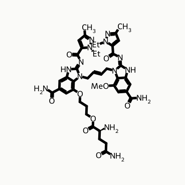 CCn1nc(C)cc1C(=O)/N=c1/[nH]c2cc(C(N)=O)cc(OC)c2n1C/C=C/Cn1/c(=N/C(=O)c2cc(C)nn2CC)[nH]c2cc(C(N)=O)cc(OCCCOC(=O)[C@@H](N)CCC(N)=O)c21